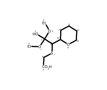 CCOC(O)(OCC)C(SCC(=O)O)C1CCCCO1